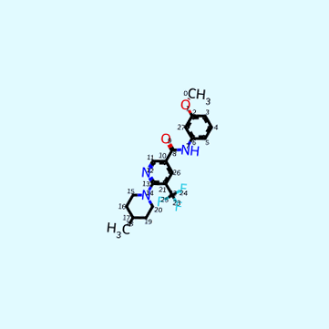 COc1cccc(NC(=O)c2cnc(N3CCC(C)CC3)c(C(F)(F)F)c2)c1